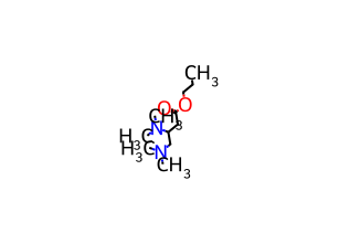 CCCOC(=O)CC(CN(C)C)N(C)C